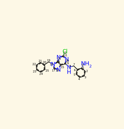 Nc1ccccc1CNc1nc(Cl)nc2c1ncn2Cc1ccccc1